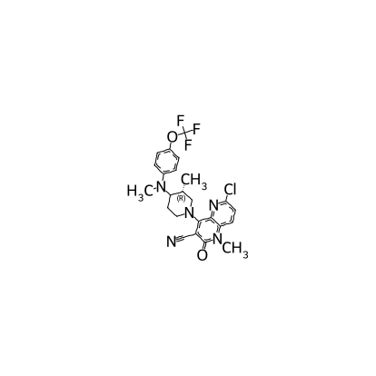 C[C@@H]1CN(c2c(C#N)c(=O)n(C)c3ccc(Cl)nc23)CCC1N(C)c1ccc(OC(F)(F)F)cc1